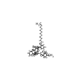 CCCCCCCCCCCCOc1ccccc1NC(=O)C(Br)C1=Nc2ccccc2S(=O)(=O)N1CCCOc1ccc(C)cc1C